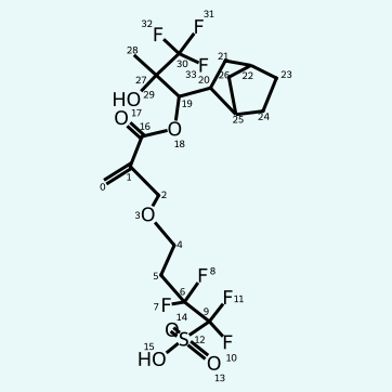 C=C(COCCC(F)(F)C(F)(F)S(=O)(=O)O)C(=O)OC(C1CC2CCC1C2)C(C)(O)C(F)(F)F